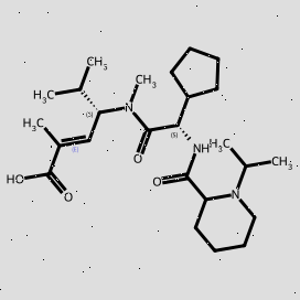 C/C(=C\[C@H](C(C)C)N(C)C(=O)[C@@H](NC(=O)C1CCCCN1C(C)C)C1CCCC1)C(=O)O